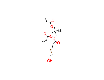 C=CC(=O)OCC(CC)(COC(=O)C=C)COC(=O)CCSCCO